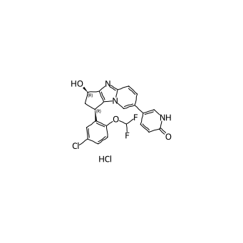 Cl.O=c1ccc(-c2ccc3nc4c(n3c2)[C@@H](c2cc(Cl)ccc2OC(F)F)C[C@H]4O)c[nH]1